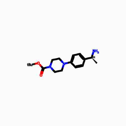 C[C@@H](N)c1ccc(N2CCN(C(=O)OC(C)(C)C)CC2)cc1